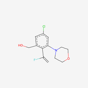 C=C(F)c1c(CO)cc(Cl)cc1N1CCOCC1